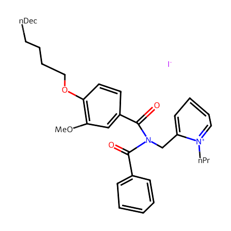 CCCCCCCCCCCCCCOc1ccc(C(=O)N(Cc2cccc[n+]2CCC)C(=O)c2ccccc2)cc1OC.[I-]